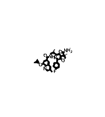 Cc1cnc2c(OC3CC3)cc(C(=O)NC[C@@H](C)c3cc4c(c(-c5ccc(F)cc5)n3)OC[C@]4(C)C(N)=O)cc2c1